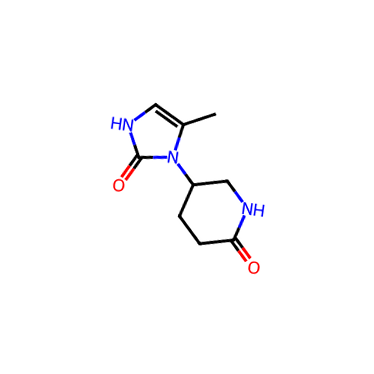 Cc1c[nH]c(=O)n1C1CCC(=O)NC1